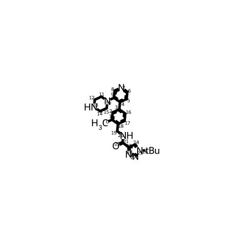 Cc1cc(-c2ccncc2N2CCNCC2)ccc1CNC(=O)c1cn(C(C)(C)C)nn1